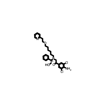 Nc1c(Cl)cc(C(=O)CN(CCCCCCOCCc2ccccn2)[C@@H](CO)c2ccccc2)cc1Cl